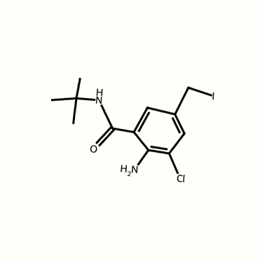 CC(C)(C)NC(=O)c1cc(CI)cc(Cl)c1N